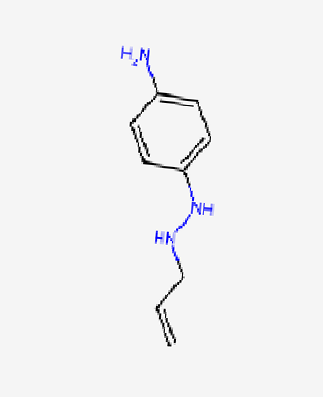 C=CCNNc1ccc(N)cc1